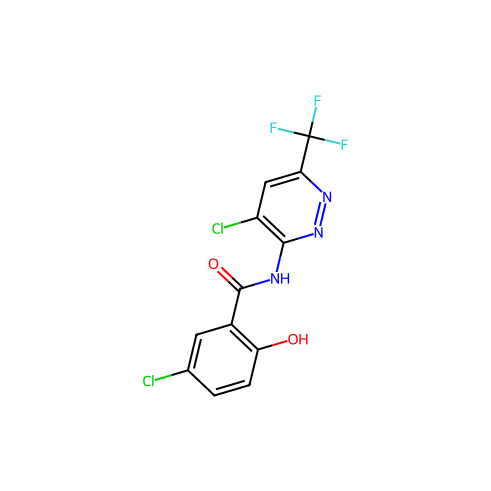 O=C(Nc1nnc(C(F)(F)F)cc1Cl)c1cc(Cl)ccc1O